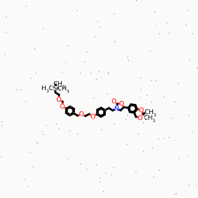 CC1(C)OCc2cc(C3CN(CCc4ccc(OCCOCc5ccc(OCOCC[Si](C)(C)C)cc5)cc4)C(=O)O3)ccc2O1